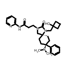 CN(C)[C@]1(c2ccccc2)CC[C@]2(CC1)CN(CCC(=O)Nc1ccccn1)C(=O)N2CC1(O)CCC1